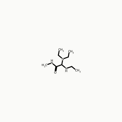 [CH2]NC(=O)C(NCC)N(CC)CC